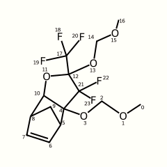 COCOC12C3C=CC(C3)C1OC(OCOC)(C(F)(F)F)C2(F)F